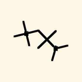 C[Si](C)C(C)(C)C[Si](C)(C)C